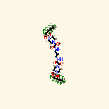 O=C(NCCCNC(=O)C(=O)N1CCN(S(=O)(=O)C(F)(F)C(F)(F)C(F)(F)C(F)(F)F)CC1)C(=O)N1CCN(S(=O)(=O)C(F)(F)C(F)(F)C(F)(F)C(F)(F)F)CC1